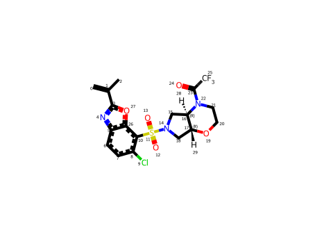 C=C(C)c1nc2ccc(Cl)c(S(=O)(=O)N3C[C@@H]4[C@@H](C3)OCCN4C(=O)C(F)(F)F)c2o1